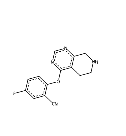 N#Cc1cc(F)ccc1Oc1ncnc2c1CCNC2